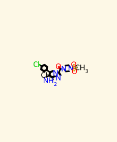 Cc1cc(Cl)ccc1-c1cn2c(C(=O)N3CCN(S(C)(=O)=O)CC3)cnc2cc1CN